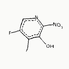 Cc1c(F)cnc([N+](=O)[O-])c1O